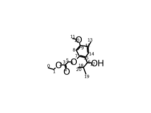 CCOC(=O)COc1cc(OC)c(C)cc1C(O)C(C)C